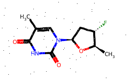 Cc1cn([C@H]2C[C@H](F)[C@@H](C)O2)c(=O)[nH]c1=O